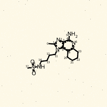 Cc1nc2c(N)nc3c(c2n1CCCCNS(C)(=O)=O)CCCC3